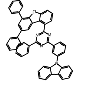 c1ccc(-c2cc(-c3ccccc3)c3oc4cccc(-c5nc(-c6ccccc6)nc(-c6cccc(-n7c8ccccc8c8ccccc87)c6)n5)c4c3c2)cc1